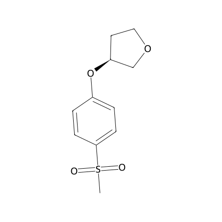 CS(=O)(=O)c1ccc(O[C@H]2CCOC2)cc1